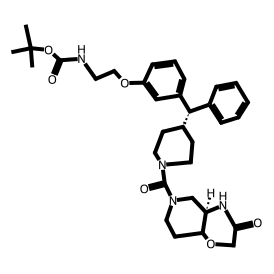 CC(C)(C)OC(=O)NCCOc1cccc([C@H](c2ccccc2)C2CCN(C(=O)N3CCC4OCC(=O)N[C@@H]4C3)CC2)c1